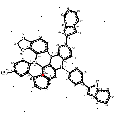 Cc1cc2c3c(c1)N(c1ccc(C(C)(C)C)cc1-c1ccccc1)c1c(ccc4c1OCO4)B3c1cc(-c3cc4ccccc4o3)ccc1N2c1ccc(-c2cc3ccccc3o2)cc1